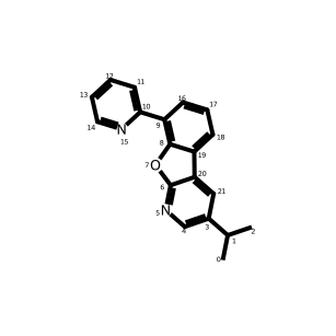 CC(C)c1cnc2oc3c(-c4ccccn4)cccc3c2c1